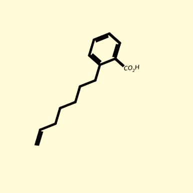 C=CCCCCCc1ccccc1C(=O)O